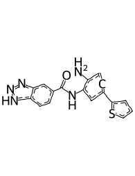 Nc1ccc(-c2cccs2)cc1NC(=O)c1ccc2[nH]nnc2c1